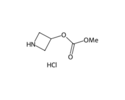 COC(=O)OC1CNC1.Cl